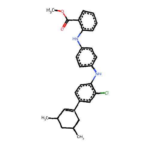 COC(=O)c1ccccc1Nc1ccc(Nc2ccc(C3=CC(C)CC(C)C3)cc2Cl)cc1